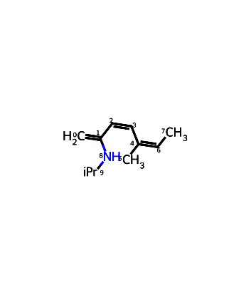 C=C(/C=C\C(C)=C/C)NC(C)C